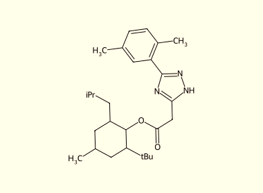 Cc1ccc(C)c(-c2n[nH]c(CC(=O)OC3C(CC(C)C)CC(C)CC3C(C)(C)C)n2)c1